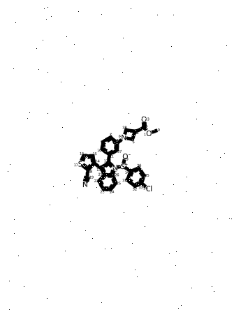 COC(=O)C1CN(c2cccc(-c3c(-c4ccsc4C#N)c4ccccc4n3[S+]([O-])c3ccc(Cl)cc3)c2)C1